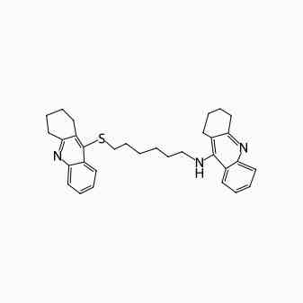 c1ccc2c(NCCCCCCSc3c4c(nc5ccccc35)CCCC4)c3c(nc2c1)CCCC3